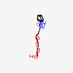 O=C(NCCCCCOCCOCCOCCO)NC12CC3CC(CC(C3)C1)C2